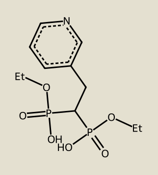 CCOP(=O)(O)C(Cc1cccnc1)P(=O)(O)OCC